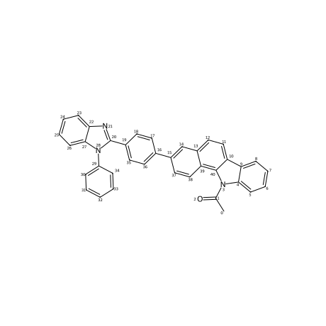 CC(=O)n1c2ccccc2c2ccc3cc(-c4ccc(-c5nc6ccccc6n5-c5ccccc5)cc4)ccc3c21